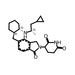 C[C@@H](CC1CC1)N[C@H]1CCCC[C@@H]1Cc1ccc2c(c1)CN(C1CCC(=O)NC1=O)C2=O